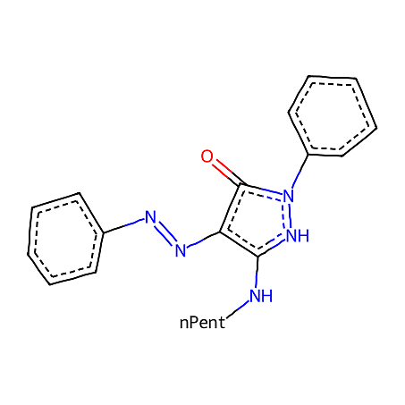 CCCCCNc1[nH]n(-c2ccccc2)c(=O)c1N=Nc1ccccc1